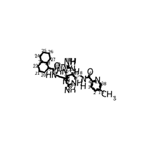 Cc1ccc(C(=O)NC[C@@H]2NC(=N)N3CC(NC(=O)C4CCCC5CCCCC54)[C@@H](O)[C@@]34NC(=N)N[C@@H]24)nc1